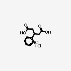 Cl.Cl.O=C(O)CC(CC(=O)O)c1ccccc1